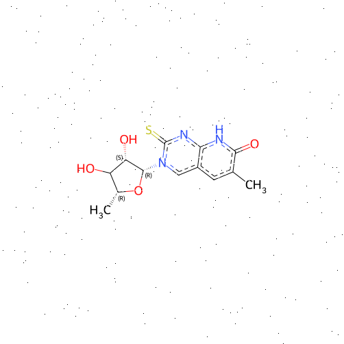 Cc1cc2cn([C@@H]3O[C@H](C)C(O)[C@@H]3O)c(=S)nc2[nH]c1=O